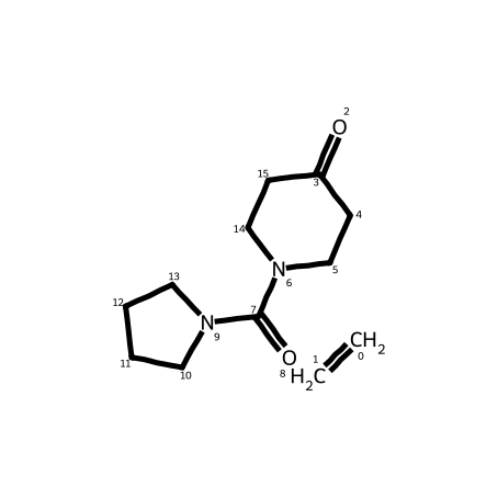 C=C.O=C1CCN(C(=O)N2CCCC2)CC1